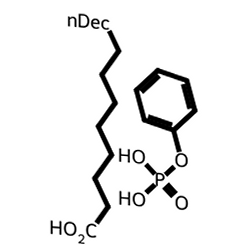 CCCCCCCCCCCCCCCCCC(=O)O.O=P(O)(O)Oc1ccccc1